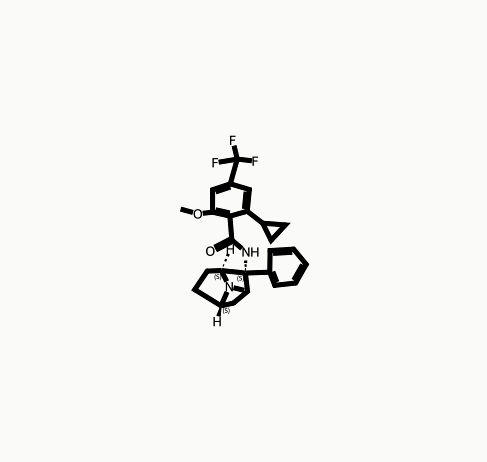 COc1cc(C(F)(F)F)cc(C2CC2)c1C(=O)N[C@]1(c2ccccc2)CC[C@@H]2CC[C@@H]1N2C